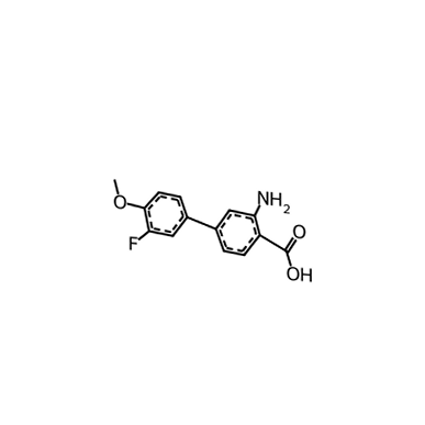 COc1ccc(-c2ccc(C(=O)O)c(N)c2)cc1F